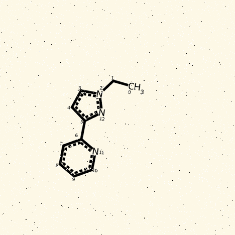 CCn1[c]cc(-c2ccccn2)n1